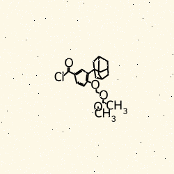 COC(C)OCOc1ccc(C(=O)Cl)cc1C12CC3CC(CC(C3)C1)C2